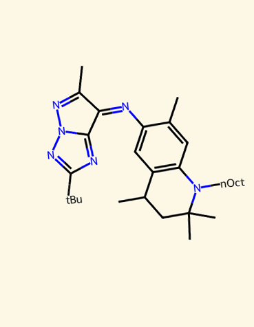 CCCCCCCCN1c2cc(C)c(/N=C3/C(C)=Nn4nc(C(C)(C)C)nc43)cc2C(C)CC1(C)C